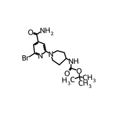 CC(C)(C)OC(=O)NC1CCN(c2cc(C(N)=O)cc(Br)n2)CC1